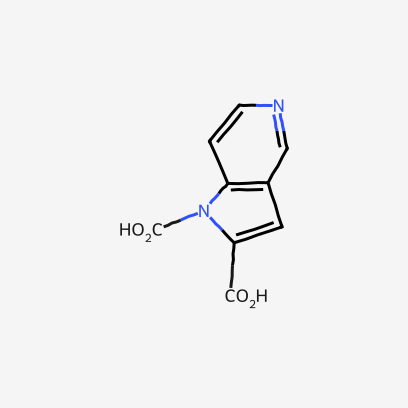 O=C(O)c1cc2cnccc2n1C(=O)O